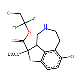 CCOC(=O)C1(C(=O)OC(Cl)(Cl)CCl)Sc2ccc(Cl)c3c2C1CNCC3